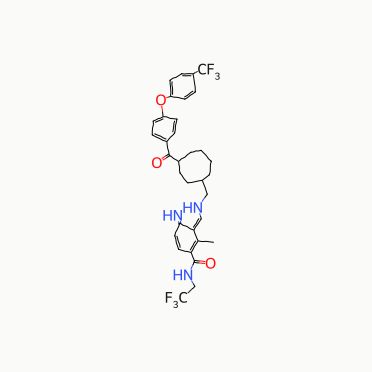 CC1=C(C(=O)NCC(F)(F)F)C=CC(=N)/C1=C\NCC1CCCCC(C(=O)c2ccc(Oc3ccc(C(F)(F)F)cc3)cc2)CC1